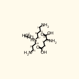 Cl.Cl.Cl.NC(CCC(=O)O)C(=O)O.NCCCCNCCCN